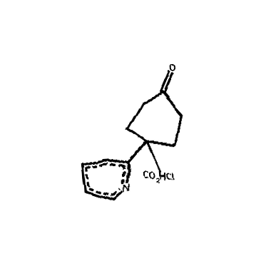 Cl.O=C1CCC(C(=O)O)(c2ccccn2)CC1